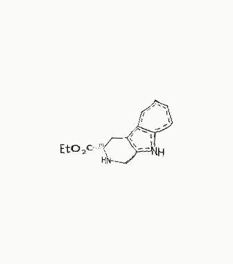 CCOC(=O)[C@@H]1Cc2c([nH]c3ccccc23)CN1